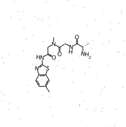 Cc1ccc2nc(NC(=O)CN(C)C(=O)CNC(=O)[C@H](C)N)sc2c1